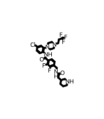 O=C(CC1CCCNC1)NCc1ccc(C(=O)Nc2ccc(Cl)cc2N2CCN(CCC(F)(F)F)CC2)c(F)c1F